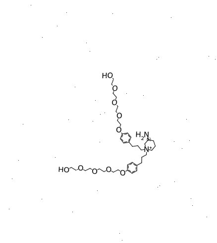 N[C@H]1CCC[N+](CCCc2ccc(OCCOCCOCCOCCO)cc2)(CCCc2ccc(OCCOCCOCCOCCO)cc2)C1